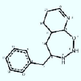 C1=NC2ONNC(Cc3ccccc3)CC2CC1